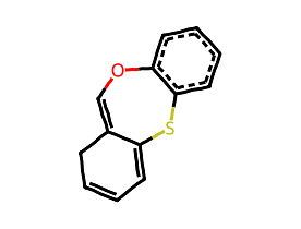 C1=CCC2=COc3ccccc3SC2=C1